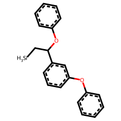 [SiH3]CC(Oc1ccccc1)c1cccc(Oc2ccccc2)c1